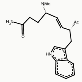 CN[C@H](/C=C/[C@@H](Cc1c[nH]c2ccccc12)C(C)=O)CCC(N)=O